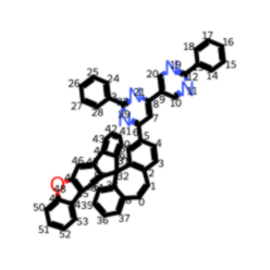 C1=Cc2ccc(-c3cc(-c4cnc(-c5ccccc5)nc4)nc(-c4ccccc4)n3)cc2C2(c3ccccc31)c1ccccc1-c1cc3oc4ccccc4c3cc12